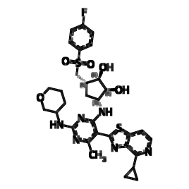 Cc1nc(NC2CCCOC2)nc(N[C@@H]2C[C@H](CS(=O)(=O)c3ccc(F)cc3)[C@@H](O)[C@H]2O)c1-c1nc2c(C3CC3)nccc2s1